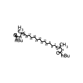 CCCCC(=O)CC(C)SCCCCCCCCCCCCSC(C)CC(=O)CCCC